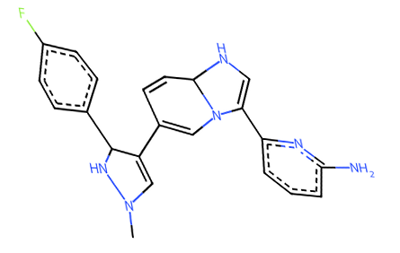 CN1C=C(C2=CN3C(c4cccc(N)n4)=CNC3C=C2)C(c2ccc(F)cc2)N1